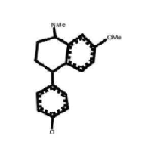 CNC1CCC(c2ccc(Cl)cc2)c2ccc(OC)cc21